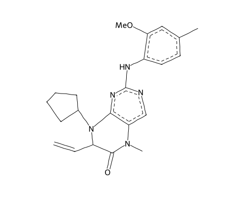 C=CC1C(=O)N(C)c2cnc(Nc3ccc(C)cc3OC)nc2N1C1CCCC1